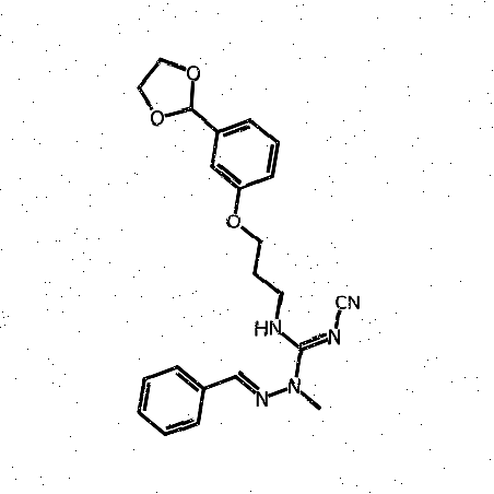 CN(N=Cc1ccccc1)C(=NC#N)NCCCOc1cccc(C2OCCO2)c1